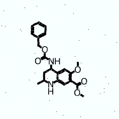 COC(=O)c1cc2c(cc1OC)C(NC(=O)OCc1ccccc1)CC(C)N2